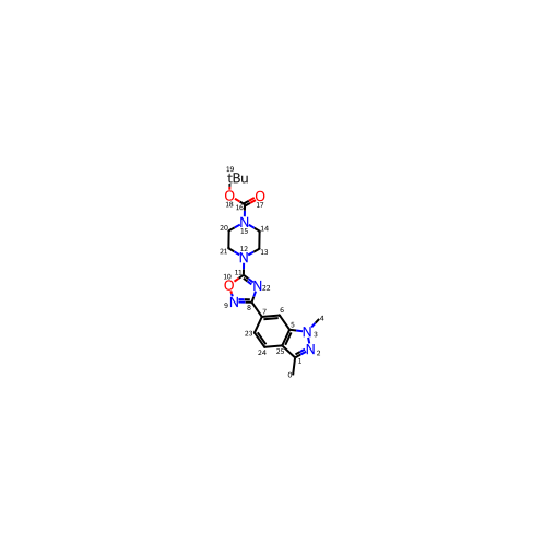 Cc1nn(C)c2cc(-c3noc(N4CCN(C(=O)OC(C)(C)C)CC4)n3)ccc12